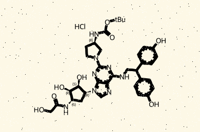 CC(C)(C)OC(=O)N[C@@H]1CCN(c2nc(NCC(c3ccc(O)cc3)c3ccc(O)cc3)c3ncn([C@@H]4C[C@H](NC(=O)CO)[C@@H](O)[C@H]4O)c3n2)C1.Cl